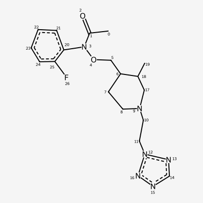 CC(=O)N(OCC1CCN(CCn2ncnn2)CC1C)c1ccccc1F